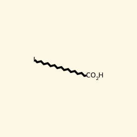 O=C(O)CCCCCCCCCCCCCCCI